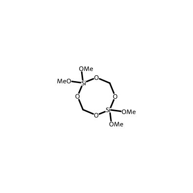 CO[Si]1(OC)OCO[Si](OC)(OC)OCO1